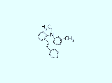 C=CN(c1cccc(C)c1)c1ccccc1C=Cc1ccccc1